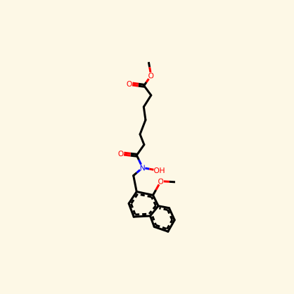 COC(=O)CCCCCC(=O)N(O)Cc1ccc2ccccc2c1OC